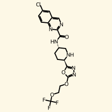 O=C(N[C@H]1CC[C@H](c2nnc(OCCOC(F)(F)F)o2)NC1)c1ncc2cc(Cl)ccc2n1